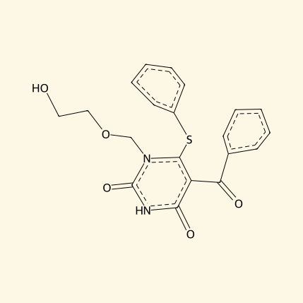 O=C(c1ccccc1)c1c(Sc2ccccc2)n(COCCO)c(=O)[nH]c1=O